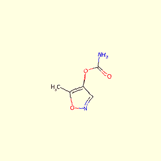 Cc1oncc1OC(N)=O